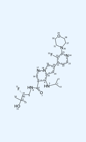 CC(C)Nc1c(C(=O)NC[C@@H](F)C(C)(C)O)cnn2cc(-c3ccnc(N4CCOCC4)c3F)cc12